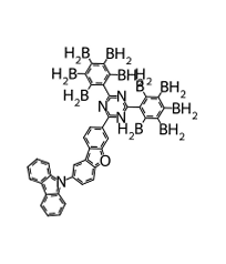 Bc1c(B)c(B)c(-c2nc(-c3ccc4c(c3)oc3ccc(-n5c6ccccc6c6ccccc65)cc34)nc(-c3c(B)c(B)c(B)c(B)c3B)n2)c(B)c1B